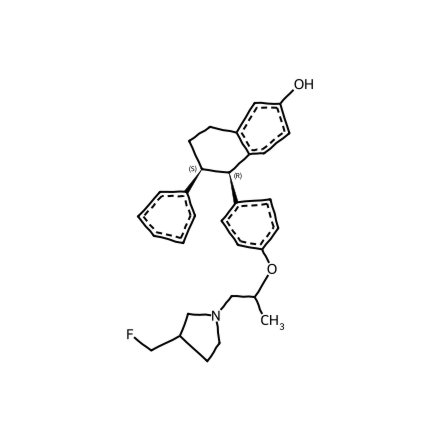 CC(CN1CCC(CF)C1)Oc1ccc([C@@H]2c3ccc(O)cc3CC[C@@H]2c2ccccc2)cc1